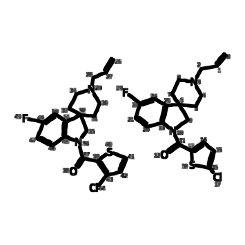 C=CCN1CCC2(CC1)CN(C(=O)c1ccc(Cl)s1)c1ccc(F)cc12.C=CCN1CCC2(CC1)CN(C(=O)c1sccc1Cl)c1ccc(F)cc12